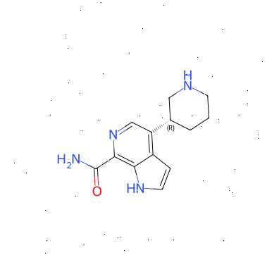 NC(=O)c1ncc([C@H]2CCCNC2)c2cc[nH]c12